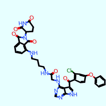 O=C(CNc1ncnc2[nH]cc(C(=O)c3ccc(Oc4ccccc4)cc3Cl)c12)NCCCCNc1cccc2c1C(=O)N(C1CCC(=O)NC1=O)C2=O